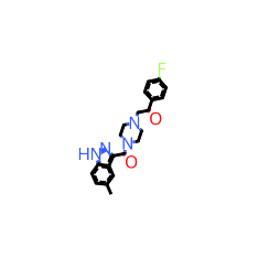 Cc1ccc2[nH]nc(C(=O)N3CCN(CC(=O)c4ccc(F)cc4)CC3)c2c1